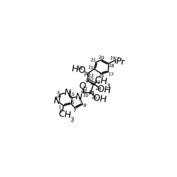 Cc1ncnc2c1ccn2[C@@H]1O[C@H]([C@H](O)c2ccc(C(C)C)cc2)[C@@](C)(O)[C@H]1O